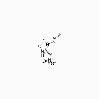 C=CCN1CCN/C1=C\[N+](=O)[O-]